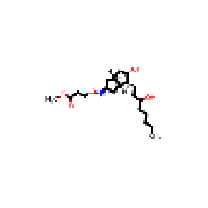 CCCCCC(O)CC[C@H]1[C@@H]2C/C(=N/OCCC(=O)OC)C[C@@H]2C[C@@H]1O